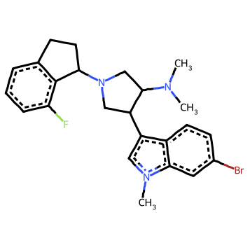 CN(C)C1CN(C2CCc3cccc(F)c32)CC1c1cn(C)c2cc(Br)ccc12